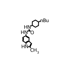 CCCCC1CCC(NC(=O)Nc2ccc3[nH]c(C)cc3c2)CC1